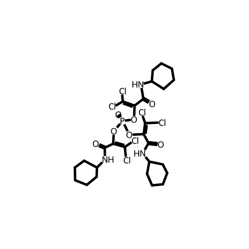 O=C(NC1CCCCC1)C(OP(=O)(OC(C(=O)NC1CCCCC1)=C(Cl)Cl)OC(C(=O)NC1CCCCC1)=C(Cl)Cl)=C(Cl)Cl